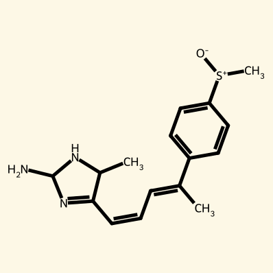 C/C(=C\C=C/C1=NC(N)NC1C)c1ccc([S+](C)[O-])cc1